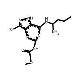 CCCC(N)Nc1nc(NC(=O)OC)nc2c(Br)n[nH]c12